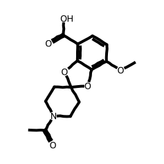 COc1ccc(C(=O)O)c2c1OC1(CCN(C(C)=O)CC1)O2